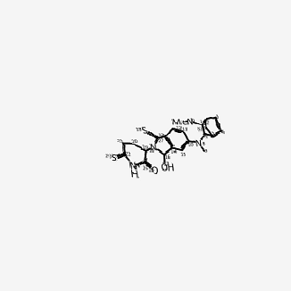 CN[C@H]1C2C=CC(C2)[C@H]1N(C)c1ccc2c(c1)C(O)N(C1CCC(=S)NC1=O)C2=S